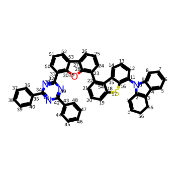 C1=Cc2c(c3ccccc3n2-c2cccc3c2sc2cccc(-c4cccc5c4oc4c(-c6nc(-c7ccccc7)nc(-c7ccccc7)n6)cccc45)c23)CC1